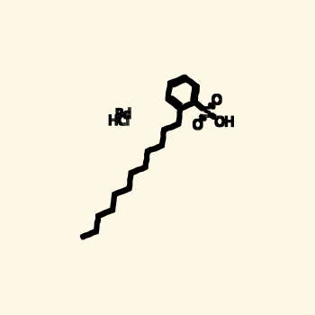 CCCCCCCCCCCCc1ccccc1S(=O)(=O)O.Cl.[Pd]